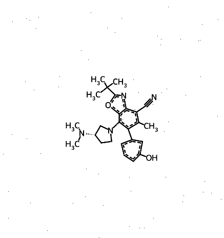 Cc1c(-c2cccc(O)c2)c(N2CC[C@H](N(C)C)C2)c2oc(C(C)(C)C)nc2c1C#N